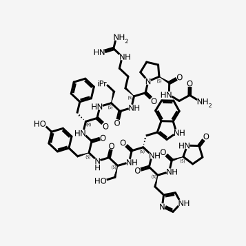 CC(C)C[C@H](NC(=O)[C@@H](Cc1ccccc1)NC(=O)[C@H](Cc1ccc(O)cc1)NC(=O)[C@H](CO)NC(=O)[C@H](Cc1c[nH]c2ccccc12)NC(=O)[C@H](Cc1c[nH]cn1)NC(=O)[C@@H]1CCC(=O)N1)C(=O)N[C@@H](CCCNC(=N)N)C(=O)N1CCC[C@H]1C(=O)NCC(N)=O